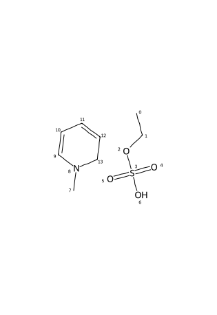 CCOS(=O)(=O)O.CN1C=CC=CC1